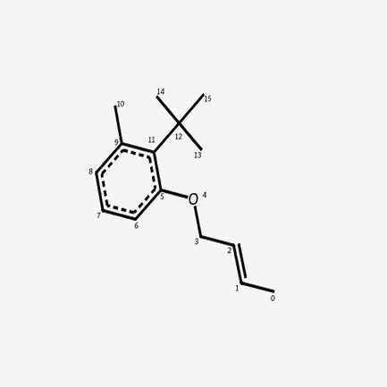 CC=CCOc1cccc(C)c1C(C)(C)C